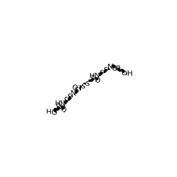 O=C(NCSCSC/N=C/[S+]([O-])CCSCSCCSC(=O)NCSCSC/N=C\OOCCO)OCCO